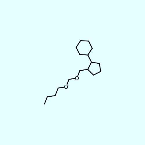 CCCCOCOCC1CCCC1C1CCCCC1